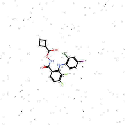 O=C(NOC(O)C1CCC1)c1ccc(F)c(F)c1Nc1ccc(I)cc1Cl